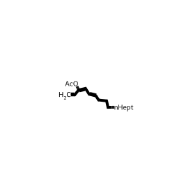 C=CC(=CC=CCCCCCCCCCC)OC(C)=O